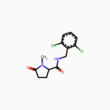 CN1C(=O)CCC1C(=O)NCc1c(Cl)cccc1Cl